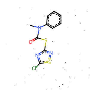 CN(C(=O)Sc1nsc(Cl)n1)c1ccccc1